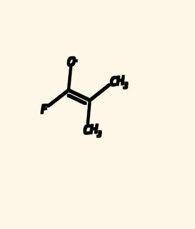 CC(C)=C([O])F